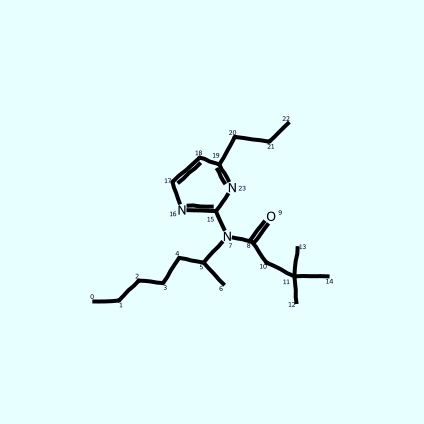 CCCCCC(C)N(C(=O)CC(C)(C)C)c1nccc(CCC)n1